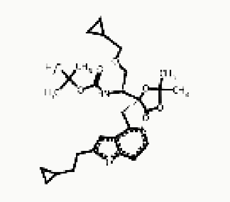 CC(C)(C)OC(=O)N[C@@H](COCC1CC1)[C@@]1(Cc2nccc3oc(CCC4CC4)cc23)OC(C)(C)OC1=O